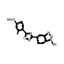 COc1ccc(-c2nc(-c3ccc4c(c3)nnn4C(C)C)no2)c(C)c1